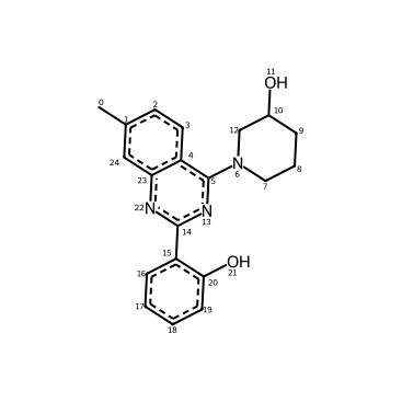 Cc1ccc2c(N3CCCC(O)C3)nc(-c3ccccc3O)nc2c1